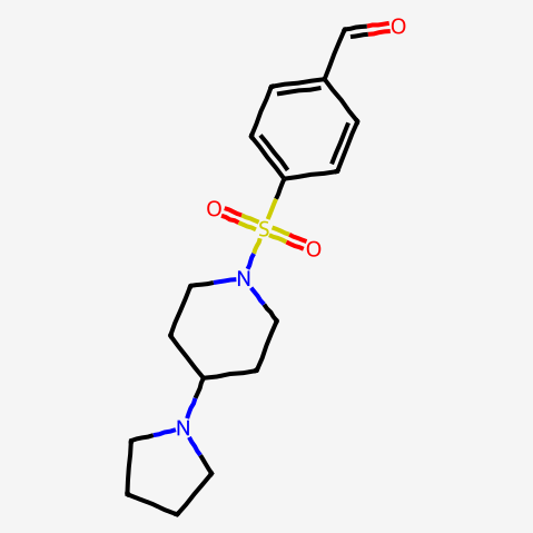 O=Cc1ccc(S(=O)(=O)N2CCC(N3CCCC3)CC2)cc1